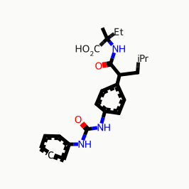 CCC(C)(NC(=O)C(CC(C)C)c1ccc(NC(=O)Nc2ccccc2)cc1)C(=O)O